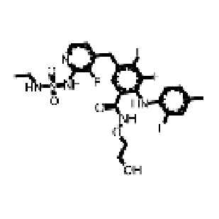 CCNS(=O)(=O)Nc1nccc(Cc2cc(C(=O)NOCCO)c(Nc3ccc(C)cc3F)c(F)c2F)c1F